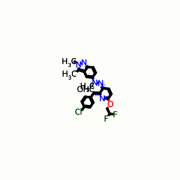 Cc1c2cc(N(C)/N=C3/C=CC(OCC(F)F)=N/C3=C(/C=O)c3ccc(Cl)cc3)ccc2nn1C